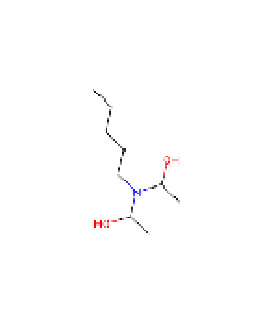 CCCCCN(C(C)O)C(C)O